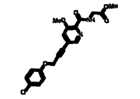 COC(=O)CNC(=O)c1ncc(C#CCOc2ccc(Cl)cc2)cc1OC